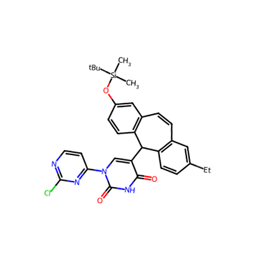 CCc1ccc2c(c1)C=Cc1cc(O[Si](C)(C)C(C)(C)C)ccc1C2c1cn(-c2ccnc(Cl)n2)c(=O)[nH]c1=O